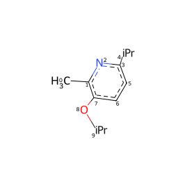 Cc1nc(C(C)C)ccc1OC(C)C